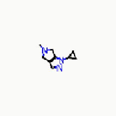 CN1Cc2cnn(C3CC3)c2C1